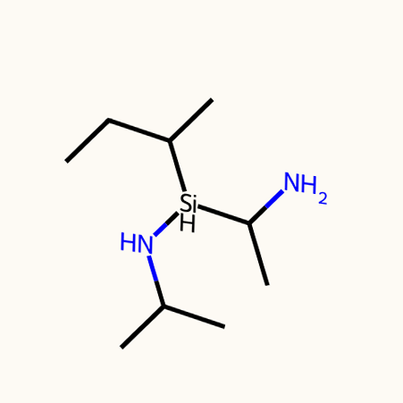 CCC(C)[SiH](NC(C)C)C(C)N